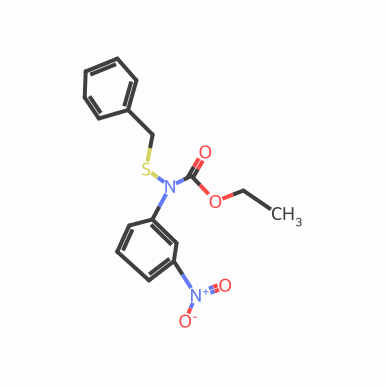 CCOC(=O)N(SCc1ccccc1)c1cccc([N+](=O)[O-])c1